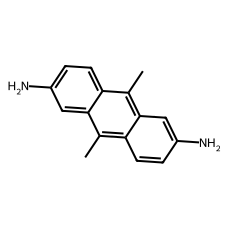 Cc1c2ccc(N)cc2c(C)c2ccc(N)cc12